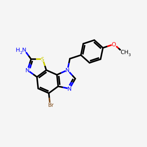 COc1ccc(Cn2cnc3c(Br)cc4nc(N)sc4c32)cc1